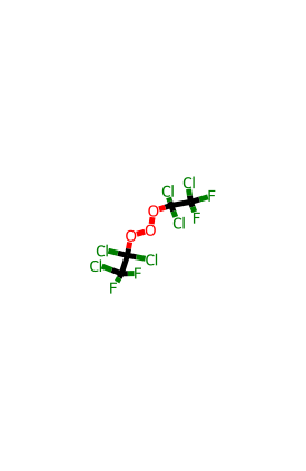 FC(F)(Cl)C(Cl)(Cl)OOOC(Cl)(Cl)C(F)(F)Cl